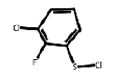 Fc1c(Cl)cccc1SCl